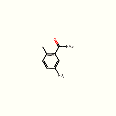 CNC(=O)c1cc([N+](=O)[O-])ccc1C